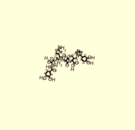 CC(C)(ON=C(C(=O)N[C@@H]1C(=O)N2C(C(=O)O)=C(Cn3nnnc3-c3ccc(O)c(O)c3)CS[C@H]12)c1csc(N)n1)C(=O)NNC(=O)c1ccc(O)c(O)c1